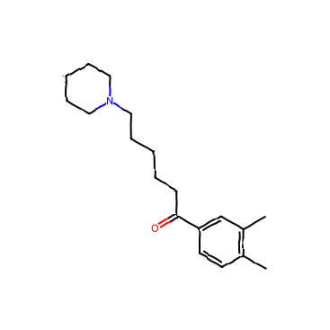 Cc1ccc(C(=O)CCCCCN2CC[CH]CC2)cc1C